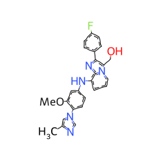 COc1cc(Nc2cccn3c(CO)c(-c4ccc(F)cc4)nc23)ccc1-n1cnc(C)c1